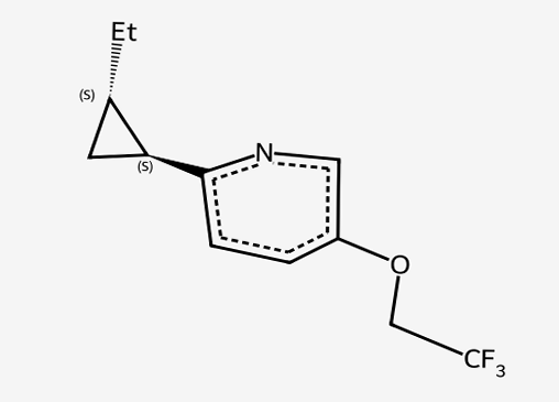 CC[C@H]1C[C@@H]1c1ccc(OCC(F)(F)F)cn1